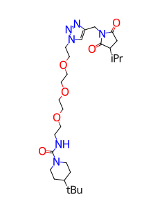 CC(C)C1CC(=O)N(Cc2cn(CCOCCOCCOCCNC(=O)N3CCC(C(C)(C)C)CC3)nn2)C1=O